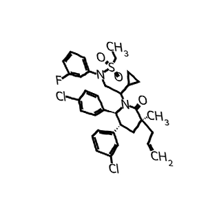 C=CC[C@@]1(C)C[C@H](c2cccc(Cl)c2)[C@@H](c2ccc(Cl)cc2)N(C(CN(c2cccc(F)c2)S(=O)(=O)CC)C2CC2)C1=O